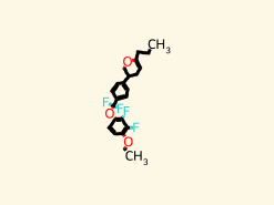 CCCC1=CCC(c2ccc(C(F)(F)Oc3ccc(OCC)c(F)c3F)cc2)CO1